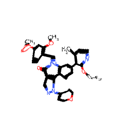 COc1ccc(Cn2c(=O)c3cnn(C4CCOCC4)c3c3ccc(-c4c(C)ccnc4OC)cc32)c(OC)c1